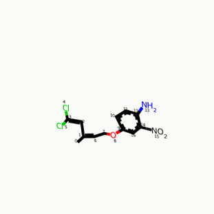 CC(C=C(Cl)Cl)=CCOc1ccc(N)c([N+](=O)[O-])c1